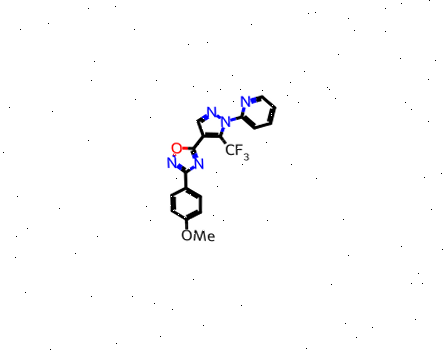 COc1ccc(-c2noc(-c3cnn(-c4ccccn4)c3C(F)(F)F)n2)cc1